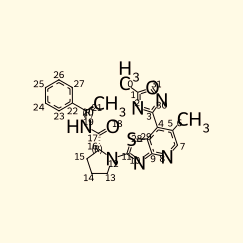 Cc1nc(-c2c(C)cnc3nc(N4CCC[C@@H]4C(=O)N[C@H](C)c4ccccc4)sc23)no1